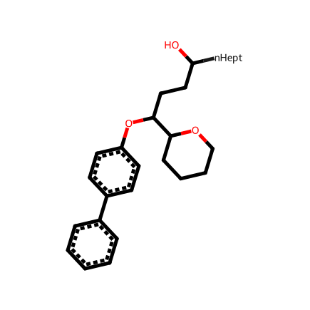 CCCCCCCC(O)CCC(Oc1ccc(-c2ccccc2)cc1)C1CCCCO1